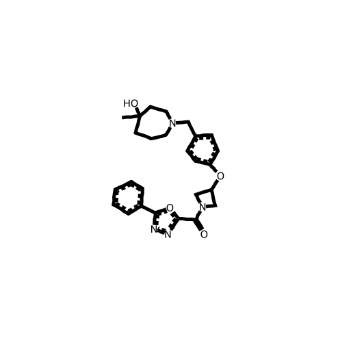 CC1(O)CCCN(Cc2ccc(OC3CN(C(=O)c4nnc(-c5ccccc5)o4)C3)cc2)CC1